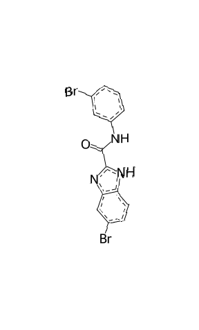 O=C(Nc1cccc(Br)c1)c1nc2cc(Br)ccc2[nH]1